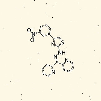 O=[N+]([O-])c1cccc(-c2csc(NN=C(c3ccccn3)c3ccccn3)n2)c1